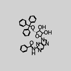 O=C(Nc1ncc2ncn([C@@H]3O[C@H](COC(c4ccccc4)(c4ccccc4)c4ccccc4)[C@@H](O)[C@H]3O)c2n1)c1ccccc1